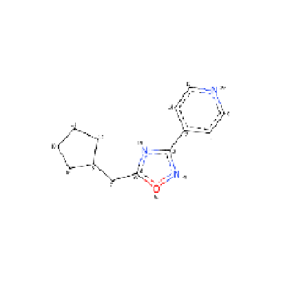 c1cc(-c2noc(CC3CCCC3)n2)ccn1